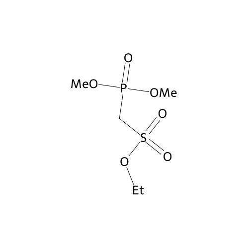 CCOS(=O)(=O)CP(=O)(OC)OC